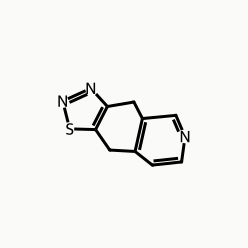 c1cc2c(cn1)Cc1nnsc1C2